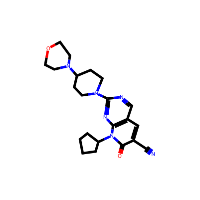 N#Cc1cc2cnc(N3CCC(N4CCOCC4)CC3)nc2n(C2CCCC2)c1=O